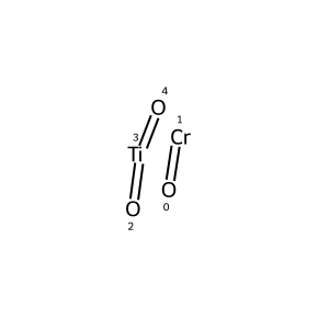 [O]=[Cr].[O]=[Ti]=[O]